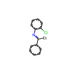 CCC(=Nc1ccccc1Cl)c1ccccc1